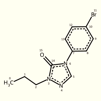 CCCn1ncn(-c2ccc(Br)cc2)c1=O